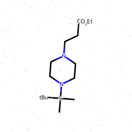 CCOC(=O)CCN1CCN([Si](C)(C)C(C)(C)C)CC1